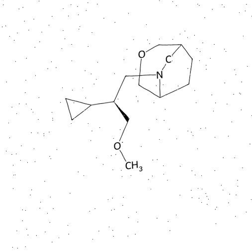 COC[C@H](CN1CC2CCC1COC2)C1CC1